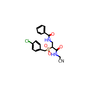 N#CCNC(=O)C(CNC(=O)c1ccccc1)S(=O)(=O)Cc1ccc(Cl)cc1